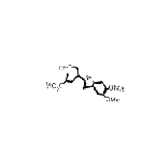 COc1cc2cc(C(CC=O)CC(C)C(=O)O)[se]c2cc1OC